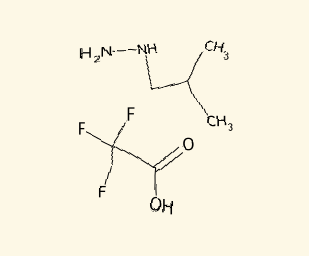 CC(C)CNN.O=C(O)C(F)(F)F